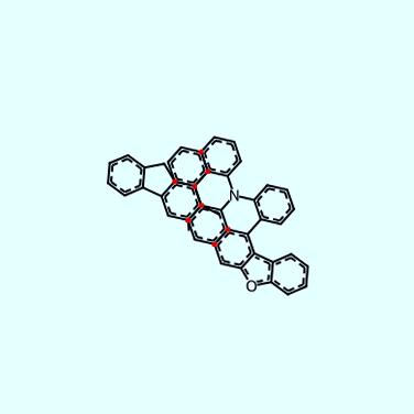 Cc1cc2c(c(-c3ccccc3N(c3ccccc3-c3ccccc3)c3ccccc3-c3cccc4oc5ccccc5c34)c1C)Cc1ccccc1-2